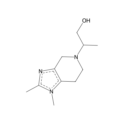 Cc1nc2c(n1C)CCN(C(C)CO)C2